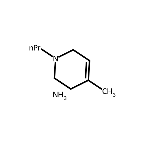 CCCN1CC=C(C)CC1.N